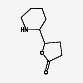 O=C1CCC(C2CCCCN2)O1